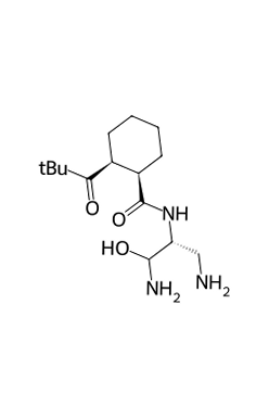 CC(C)(C)C(=O)[C@H]1CCCC[C@H]1C(=O)N[C@H](CN)C(N)O